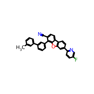 Cc1cccc(-c2cccc(-c3c(C#N)ccc4c3oc3cc(-c5ccc(F)cn5)ccc34)c2)c1